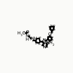 CC(=O)NCCNCC1CCC(C2=C3C=NC=C[N+]3(N)C(c3cccc(OCc4ccccc4)c3)=N2)CC1